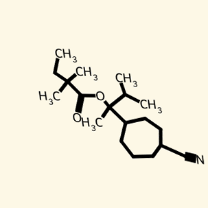 CCC(C)(C)C(=O)OC(C)(C(C)C)C1CCCC(C#N)CC1